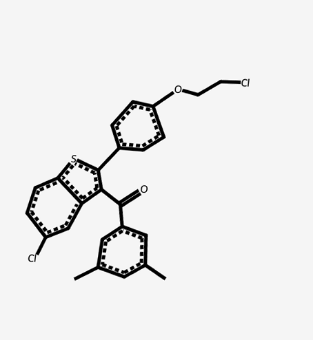 Cc1cc(C)cc(C(=O)c2c(-c3ccc(OCCCl)cc3)sc3ccc(Cl)cc23)c1